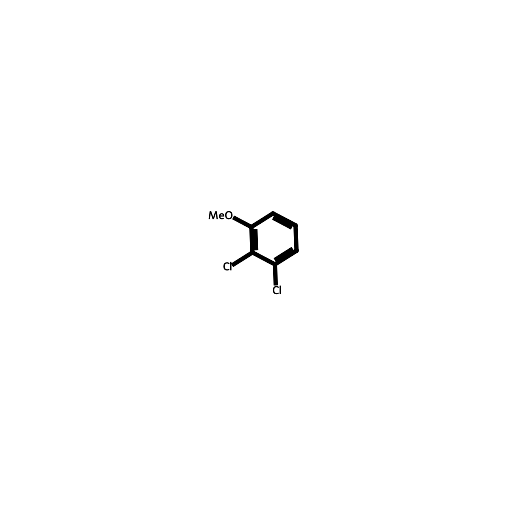 [CH2-][OH+]c1cccc(Cl)c1Cl